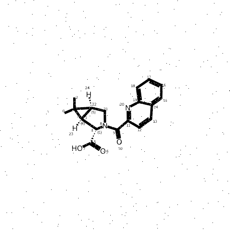 CC1(C)[C@@H]2[C@@H](C(=O)O)N(C(=O)c3ccc4ccccc4n3)C[C@@H]21